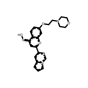 O/N=c1/cc(-c2cc3cccn3cn2)oc2cc(OCCN3CCOCC3)ccc12